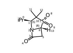 CC(C)[C@@H]1N2C(=O)C[C@H]2S(=O)(=O)C1(C)C